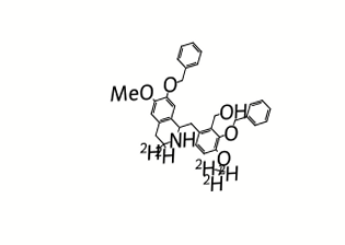 [2H]C1([2H])Cc2cc(OC)c(OCc3ccccc3)cc2C(Cc2ccc(OC([2H])([2H])[2H])c(OCc3ccccc3)c2CO)N1